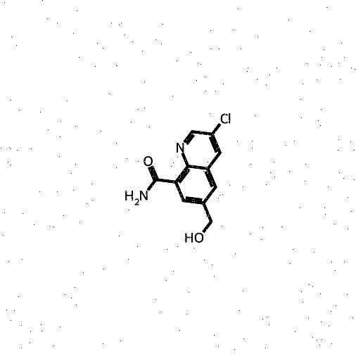 NC(=O)c1cc(CO)cc2cc(Cl)cnc12